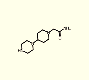 NC(=O)CN1CCC(N2CCNCC2)CC1